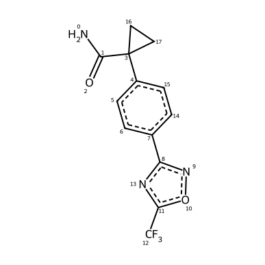 NC(=O)C1(c2ccc(-c3noc(C(F)(F)F)n3)cc2)CC1